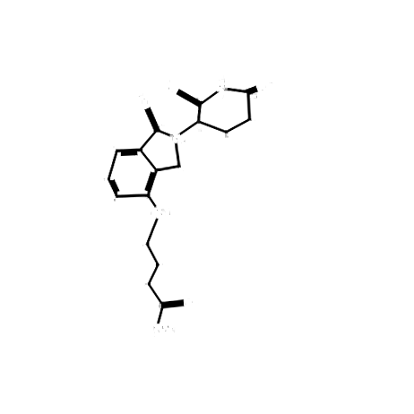 CNC(=O)CCCNc1cccc2c1CN(C1CCC(=O)NC1=O)C2=O